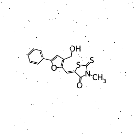 CN1C(=O)/C(=C/c2oc(-c3ccccc3)cc2CO)SC1=S